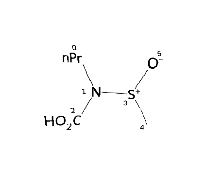 CCCN(C(=O)O)[S+](C)[O-]